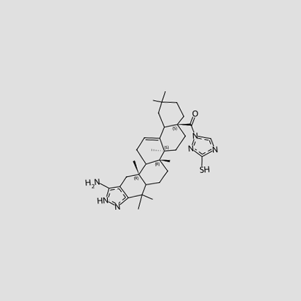 CC1(C)CC[C@]2(C(=O)n3cnc(S)n3)CC[C@]3(C)C(=CCC4[C@@]5(C)Cc6c(n[nH]c6N)C(C)(C)C5CC[C@]43C)C2C1